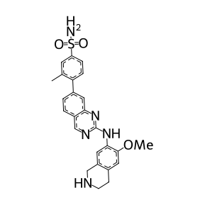 COc1cc2c(cc1Nc1ncc3ccc(-c4ccc(S(N)(=O)=O)cc4C)cc3n1)CNCC2